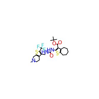 CN1CCc2c(sc(C(F)(F)F)c2CNC(=O)Nc2sc3c(c2C(=O)OC(C)(C)C)CCCCC3)C1